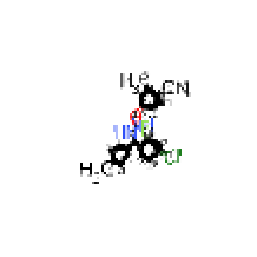 Cc1ccc(C(NNOc2ccc(C#N)c(C)c2)c2ccc(Cl)cc2F)cc1